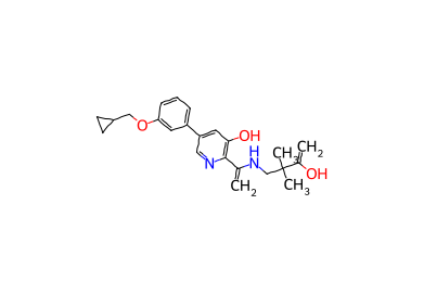 C=C(NCC(C)(C)C(=C)O)c1ncc(-c2cccc(OCC3CC3)c2)cc1O